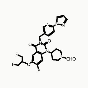 O=CN1CCC(n2c(=O)n(Cc3ccc(-n4cccn4)nc3)c(=O)c3cc(OC(CF)CF)c(F)cc32)CC1